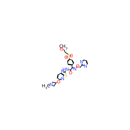 COCCCS(=O)(=O)c1ccc(/C(=N\OCc2ncccn2)C(=O)Nc2nc3ccc(OC4CN(C)C4)nc3s2)cc1